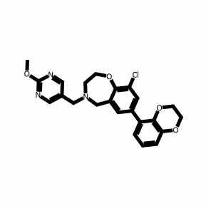 COc1ncc(CN2CCOc3c(Cl)cc(-c4cccc5c4OCCO5)cc3C2)cn1